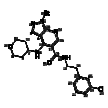 CCn1ncc2c(NC3CCOCC3)c(C(=O)NCCc3cccc(Cl)c3)cnc21